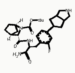 CC(C)(C)OC(=O)N1[C@@H]2CC[C@@H](C2)[C@H]1C(=O)N[C@@H](Cc1ccc(C2CC3CNCC3C2)cc1F)C(N)=O